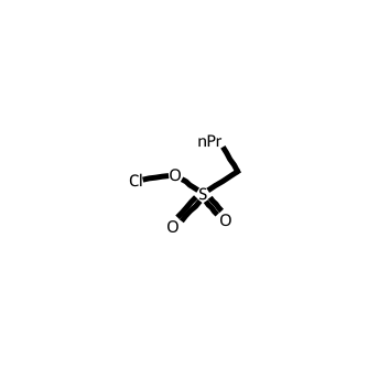 CCCCS(=O)(=O)OCl